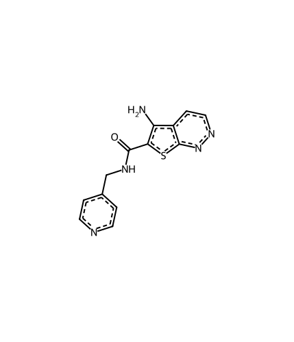 Nc1c(C(=O)NCc2ccncc2)sc2nnccc12